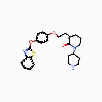 O=C1[C@@H](CCOc2ccc(Oc3nc4ccccc4s3)cc2)CCCN1C1CCNCC1